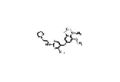 COc1cc(Cc2cnc(NCCN3CCCC3)nc2N)cc(OC)c1OC